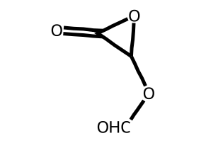 O=COC1OC1=O